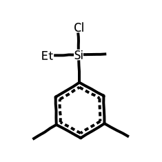 CC[Si](C)(Cl)c1cc(C)cc(C)c1